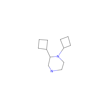 C1CC(C2C[N]CCN2C2CCC2)C1